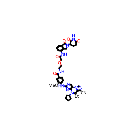 CC[C@@H]1c2c(C#N)ncn2-c2cnc(Nc3ccc(C(=O)NCCOCC(=O)Nc4cccc5c4CN(C4CCC(=O)NC4=O)C5=O)cc3OC)nc2N1C1CCCC1